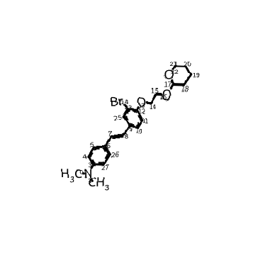 CN(C)c1ccc(/C=C/c2ccc(OCCOC3CCCCO3)c(Br)c2)cc1